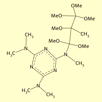 COC(OC)(OC)C(C)(OC)C(OC)(OC)N(C)c1nc(N(C)C)nc(N(C)C)n1